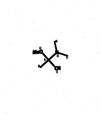 COC(C)(C#N)N(C)C